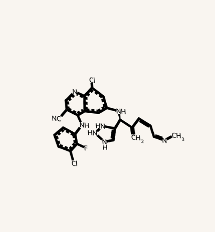 C=C(/C=C\C=N/C)[C@H](Nc1cc(Cl)c2ncc(C#N)c(Nc3cccc(Cl)c3F)c2c1)C1=CNNN1